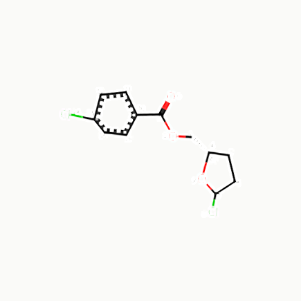 O=C(OC[C@@H]1CCC(Cl)O1)c1ccc(Cl)cc1